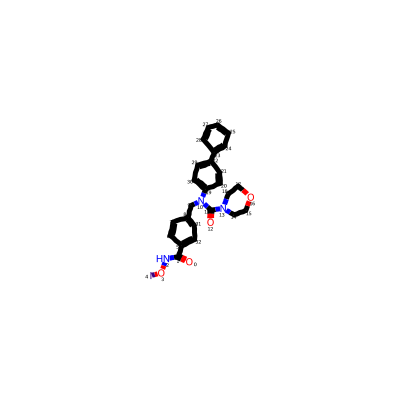 O=C(NOI)c1ccc(CN(C(=O)N2CCOCC2)c2ccc(-c3ccccc3)cc2)cc1